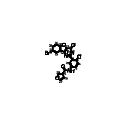 O=C(Nc1ccc(Cl)c(-c2nc3c(oc4ccc(Br)cc43)c(=O)[nH]2)c1)c1ccoc1